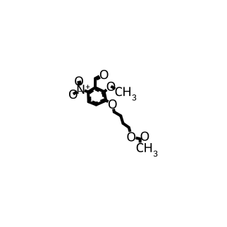 COc1c(OCCCCOC(C)=O)ccc([N+](=O)[O-])c1C=O